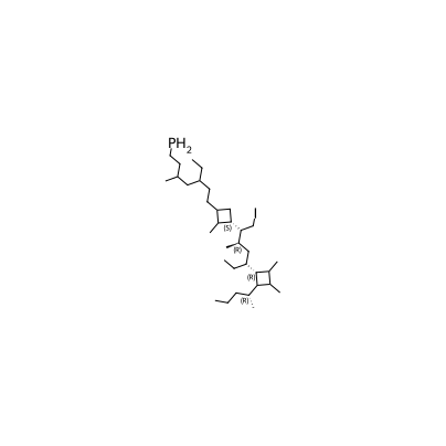 CCC[C@@H](C)C1C(C)C(C)[C@H]1C(CC)C[C@@H](C)C(CI)[C@H]1CC(CCC(CC)CC(C)CCP)C1C